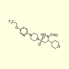 O=CN(O)C(CS(=O)(=O)N1CCN(c2ccc(OCC(F)(F)F)cn2)CC1)C1CCOCC1